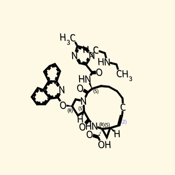 CCNCC.Cc1cnc(C(=O)N[C@H]2CCCCC/C=C\[C@@H]3C[C@@]3(C(=O)O)NC(=O)[C@@H]3C[C@@H](Oc4nc5ccccc5c5ccccc45)CN3C2=O)cn1